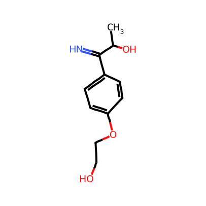 CC(O)C(=N)c1ccc(OCCO)cc1